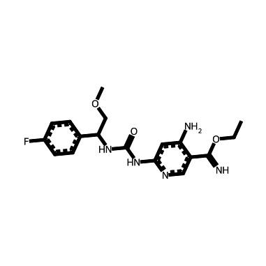 CCOC(=N)c1cnc(NC(=O)NC(COC)c2ccc(F)cc2)cc1N